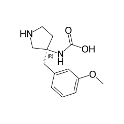 COc1cccc(C[C@@]2(NC(=O)O)CCNC2)c1